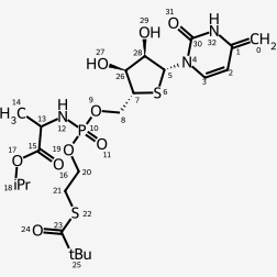 C=C1C=CN([C@@H]2S[C@H](COP(=O)(NC(C)C(=O)OC(C)C)OCCSC(=O)C(C)(C)C)[C@@H](O)[C@H]2O)C(=O)N1